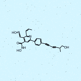 C/C=C\c1nc(-c2ccc(C#CC#CC(C)CO)cc2)cc(C(=O)NO)c1/C=N/O